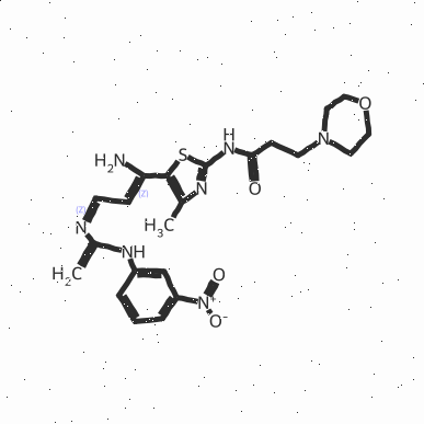 C=C(/N=C\C=C(/N)c1sc(NC(=O)CCN2CCOCC2)nc1C)Nc1cccc([N+](=O)[O-])c1